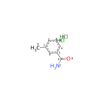 Cc1cccc(C(N)=O)c1.Cl.Cl